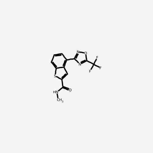 CNC(=O)c1cc2c(-c3noc(C(F)(F)F)n3)cccc2s1